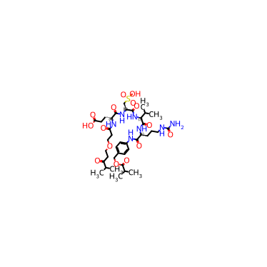 CC(C)C(=O)CCOCCC(=O)N[C@H](CCC(=O)O)C(=O)N[C@@H](CS(=O)(=O)O)C(=O)N[C@H](C(=O)N[C@@H](CCCNC(N)=O)C(=O)Nc1ccc(COC(=O)C(C)C)cc1)C(C)C